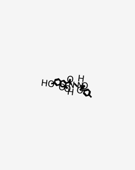 Cc1ccc(S(=O)(=O)NCCNC(=O)c2cc3ccc(O)cc3oc2=O)cc1